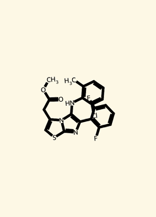 COC(=O)Cc1csc2nc(-c3c(F)cccc3F)c(Nc3c(C)cccc3Cl)n12